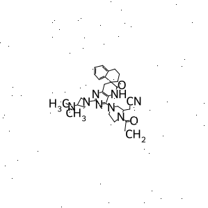 C=CC(=O)N1CCN(c2nc(N3CC(N(C)C)C3)nc3c2NC(=O)C2(CCCc4ccccc42)C3)CC1CC#N